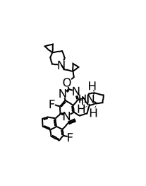 C#Cc1c(F)ccc2cccc(-c3nc4c5c(nc(OCC6(CN7CCC8(CC7)CC8)CC6)nc5c3F)N3C[C@H]5CC[C@H](N5)[C@H]3CC4)c12